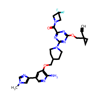 C#CC1(COc2nc(C(=O)N3CC(F)(F)C3)nc(N3CCC(COc4cc(-c5cn(C)cn5)cnc4N)CC3)n2)CC1